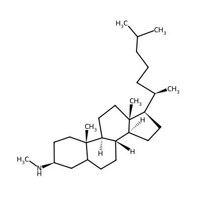 CN[C@H]1CC[C@@]2(C)C(CC[C@H]3[C@@H]4CC[C@H]([C@H](C)CCCC(C)C)[C@@]4(C)CC[C@@H]32)C1